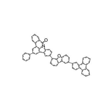 O=c1c2ccccc2c2cc(-c3ccccc3)cc3c4cc(-c5cccc6c5oc5ccc(-c7ccc8c9ccccc9c9ccccc9c8c7)cc56)ccc4n1c23